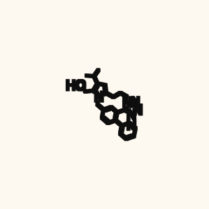 CCCc1cc(C(C)C)c(CO)n1Cc1ccc(-c2ccccc2)c(-c2nnn[nH]2)c1